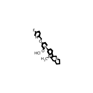 Cl.Cn1c2c(c3ccc(-n4ccc(OCc5ccc(F)cn5)cc4=O)cc31)CN1CCCC1C2